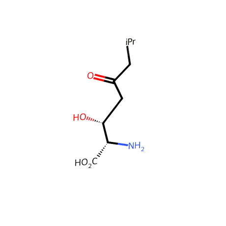 CC(C)CC(=O)C[C@@H](O)[C@H](N)C(=O)O